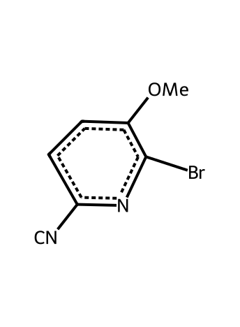 [C-]#[N+]c1ccc(OC)c(Br)n1